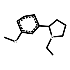 CCN1CCCC1c1cccc(OC)c1